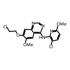 COc1ccc(Cl)c(Nc2ncnc3cc(OCCCl)c(OC)cc23)n1